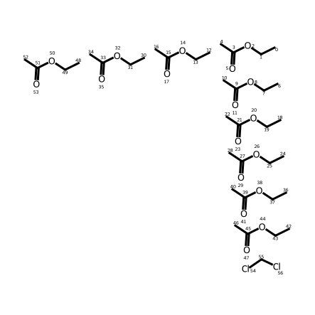 CCOC(C)=O.CCOC(C)=O.CCOC(C)=O.CCOC(C)=O.CCOC(C)=O.CCOC(C)=O.CCOC(C)=O.CCOC(C)=O.CCOC(C)=O.ClCCl